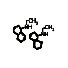 CCNc1cccc2ccccc12.CCNc1cccc2ccccc12